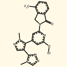 CCOc1cc(-c2c(-c3nncn3C)cnn2C)cc(N2Cc3c(cccc3C(F)(F)F)C2=O)n1